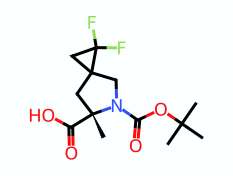 CC(C)(C)OC(=O)N1CC2(CC2(F)F)C[C@@]1(C)C(=O)O